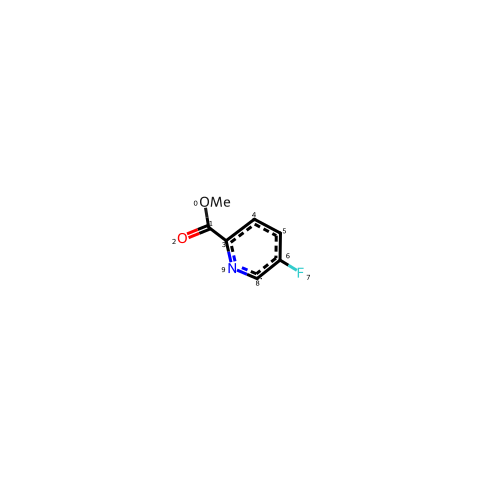 COC(=O)c1ccc(F)[c]n1